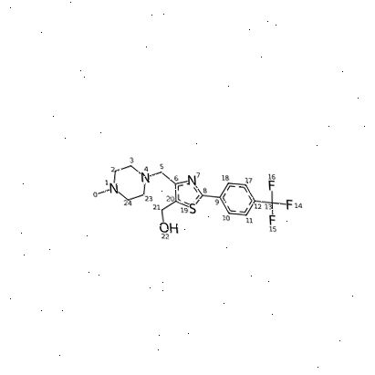 CN1CCN(Cc2nc(-c3ccc(C(F)(F)F)cc3)sc2CO)CC1